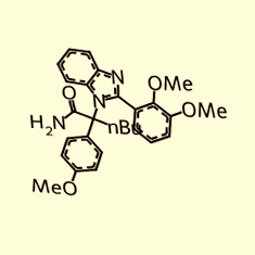 CCCCC(C(N)=O)(c1ccc(OC)cc1)n1c(-c2cccc(OC)c2OC)nc2ccccc21